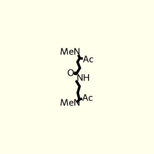 CNC(CCCNC(=O)CCC(NC)C(C)=O)C(C)=O